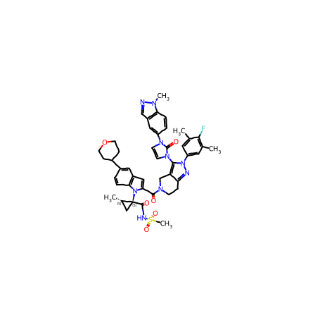 Cc1cc(-n2nc3c(c2-n2ccn(-c4ccc5c(cnn5C)c4)c2=O)CN(C(=O)c2cc4cc(C5CCOCC5)ccc4n2[C@@]2(C(=O)NS(C)(=O)=O)C[C@@H]2C)CC3)cc(C)c1F